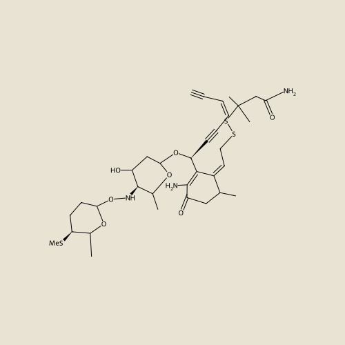 C#C/C=C\C#C[C@H](OC1CC(O)[C@H](NOC2CC[C@H](SC)C(C)O2)C(C)O1)C1=C(N)C(=O)CC(C)/C1=C/CSSC(C)(C)CC(N)=O